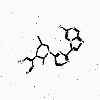 CC1CN(c2ccnc(-c3cnc4cnc(C(F)(F)F)cn34)n2)C(C)C(/C(C=N)=C/N)O1